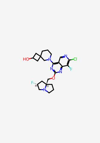 OC1CC2(CCCN(c3nc(OC[C@@]45CCCN4C[C@H](F)C5)nc4c(F)c(Cl)ncc34)C2)C1